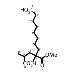 COC(=O)C(C)(CCCCCCCC(=O)O)CC(C)C(=O)O